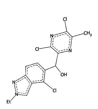 CCn1cc2c(Cl)c(C(O)c3nc(C)c(Cl)nc3Cl)ccc2n1